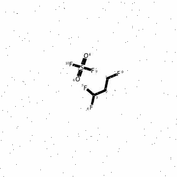 FCCC(F)F.O=S(=O)(F)F